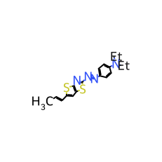 CC=Cc1cc2sc(N=Nc3ccc(N(CC)CC)cc3)nc2s1